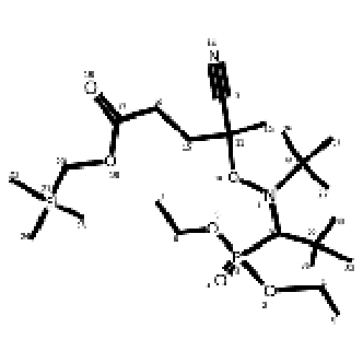 CCOP(=O)(OCC)C(N(OC(C)(C#N)CCC(=O)OC[Si](C)(C)C)C(C)(C)C)C(C)(C)C